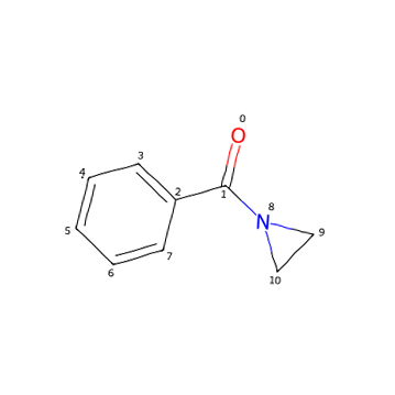 O=C(c1c[c]ccc1)N1CC1